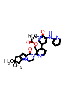 CC(=O)OCc1c(-c2cc(Nc3ccccn3)c(=O)n(C)c2)ccnc1N1CCn2c(cc3c2CC(C)(C)C3)C1=O